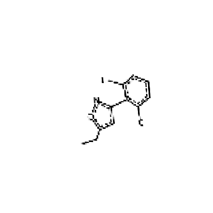 CCc1cc(-c2c(Cl)cccc2Cl)no1